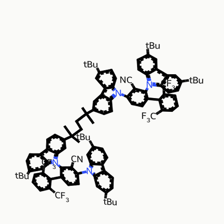 CC(C)(C)c1ccc2c(c1)c1cc(C(C)(C)CCC(C)(C)c3ccc4c5ccc(C(C)(C)C)cc5n(-c5c(-c6c(C(F)(F)F)cccc6C(F)(F)F)ccc(-n6c7cc(C(C)(C)C)ccc7c7ccc(C(C)(C)C)cc76)c5C#N)c4c3)ccc1n2-c1ccc(-c2c(C(F)(F)F)cccc2C(F)(F)F)c(-n2c3ccc(C(C)(C)C)cc3c3cc(C(C)(C)C)ccc32)c1C#N